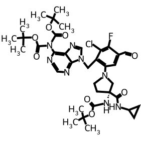 CC(C)(C)OC(=O)N[C@]1(C(=O)NC2CC2)CCN(c2cc(C=O)c(F)c(Cl)c2Cn2cnc3c(N(C(=O)OC(C)(C)C)C(=O)OC(C)(C)C)ncnc32)C1